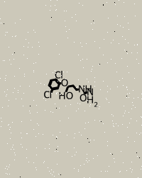 NC(=O)NCCC(CO)Oc1cc(Cl)ccc1Cl